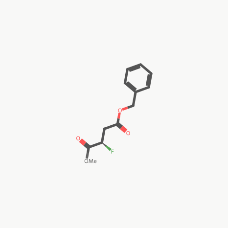 COC(=O)[C@H](F)CC(=O)OCc1ccccc1